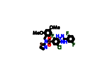 COc1ccc(CN(c2nccs2)S(=O)(=O)c2cc(Cl)c(N[C@@H](N)c3cc(F)ccc3F)cc2F)c(OC)c1